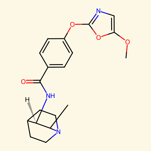 COc1cnc(Oc2ccc(C(=O)N[C@@H]3C4CCN(CC4)C3C)cc2)o1